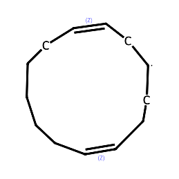 [CH]1C/C=C\CCCCC/C=C\CC1